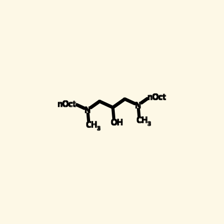 CCCCCCCCN(C)CC(O)CN(C)CCCCCCCC